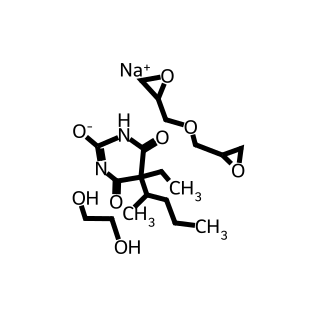 C(OCC1CO1)C1CO1.CCCC(C)C1(CC)C(=O)N=C([O-])NC1=O.OCCO.[Na+]